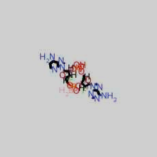 BP1(=O)OC[C@H]2O[C@@H](n3cnc4c(N)ccnc43)[C@H](OP(=O)(O)OC[C@H]3O[C@@H](n4cnc5c(N)ncnc54)[C@H](F)[C@@H]3O1)[C@@H]2F